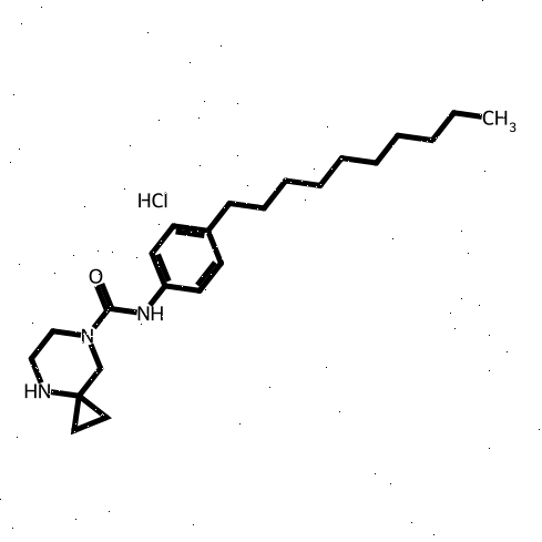 CCCCCCCCCCc1ccc(NC(=O)N2CCNC3(CC3)C2)cc1.Cl